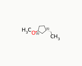 CC[C@H]1CC[C@H](OC)C1